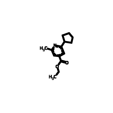 CCOC(=O)c1cc(C)nc(C2CCCC2)c1